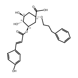 O=C(C=Cc1ccc(O)cc1)O[C@@H]1C[C@](OCCCc2ccccc2)(C(=O)O)C[C@H](O)[C@H]1O